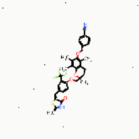 C=c1[nH]c(=O)/c(=C\c2ccc(OC[C@@]3(C)CCc4c(C)c(OCc5ccc(C#N)cc5)c(C)c(C)c4O3)c(C(F)(F)F)c2)s1